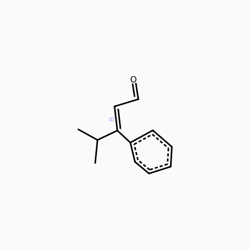 CC(C)/C(=C/C=O)c1ccccc1